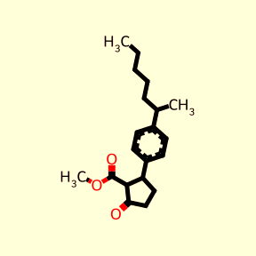 CCCCCC(C)c1ccc(C2CCC(=O)C2C(=O)OC)cc1